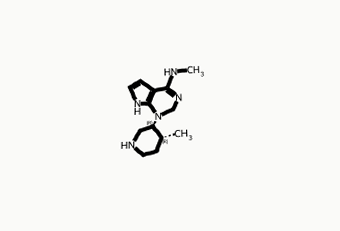 CNC1=NCN([C@H]2CNCC[C@H]2C)c2[nH]ccc21